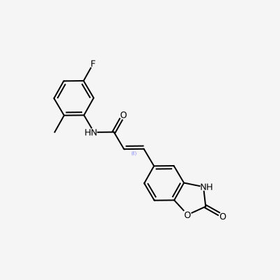 Cc1ccc(F)cc1NC(=O)/C=C/c1ccc2oc(=O)[nH]c2c1